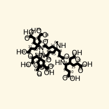 CNC(CCC(=O)NC(CCC(=O)O)C(CCC(=O)O)CC(=O)O)(CCC(=O)NC(CCC(=O)O)(CCC(=O)O)CCC(=O)O)CCC(=O)NC(CCC(=O)O)(CCC(=O)O)CC(O)C=O